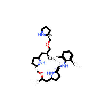 Cc1cccc(C)c1N/C=C1\CCC(CC(C)OC[C@@H]2CCC(CC(C)COC[C@@H]3CCCN3)N2)N1